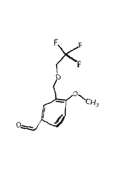 COc1ccc(C=O)cc1COCC(F)(F)F